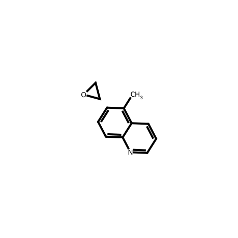 C1CO1.Cc1cccc2ncccc12